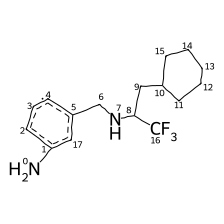 Nc1cc[c]c(CNC(CC2CCCCC2)C(F)(F)F)c1